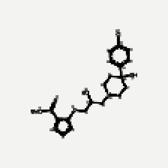 COC(=O)c1sccc1OCC(O)CN1CCC(O)(c2ccc(Cl)cc2)CC1